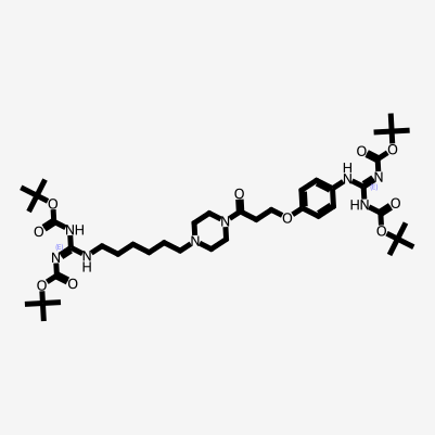 CC(C)(C)OC(=O)/N=C(\NCCCCCCN1CCN(C(=O)CCOc2ccc(N/C(=N\C(=O)OC(C)(C)C)NC(=O)OC(C)(C)C)cc2)CC1)NC(=O)OC(C)(C)C